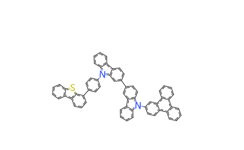 c1ccc2c(c1)sc1c(-c3ccc(-n4c5ccccc5c5ccc(-c6ccc7c(c6)c6ccccc6n7-c6ccc7c8ccccc8c8ccccc8c7c6)cc54)cc3)cccc12